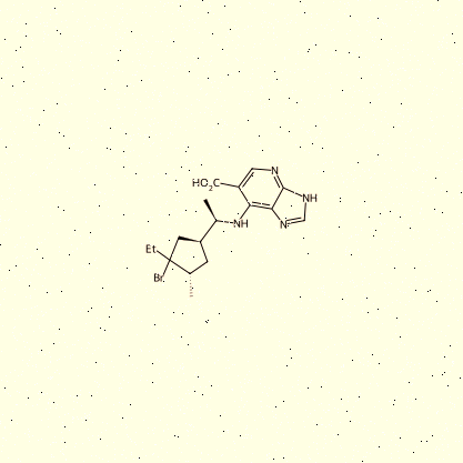 CCC1(Br)C[C@@H]([C@@H](C)Nc2c(C(=O)O)cnc3[nH]cnc23)C[C@@H]1C